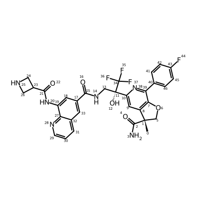 C[C@]1(C(N)=O)COc2c1cc([C@@](O)(CNC(=O)c1cc(NC(=O)C3CNC3)c3ncccc3c1)C(F)(F)F)nc2-c1ccc(F)cc1